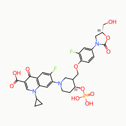 O=C(O)c1cn(C2CC2)c2cc(N3CC[C@H](OP(=O)(O)O)C(COc4ccc(N5C[C@H](CO)OC5=O)cc4F)C3)c(F)cc2c1=O